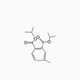 CC1=CC(C(=O)OC(C)C)=C(C(=O)OC(C)C)C=CC1